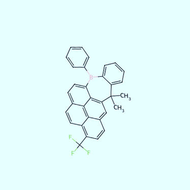 CC1(C)c2ccccc2B(c2ccccc2)c2ccc3ccc4c(C(F)(F)F)ccc5cc1c2c3c54